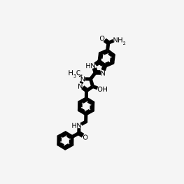 CN1N=C(c2ccc(CNC(=O)c3ccccc3)cc2)C(O)C1c1nc2ccc(C(N)=O)cc2[nH]1